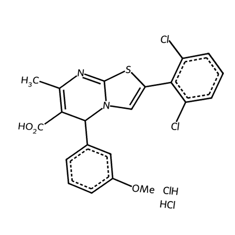 COc1cccc(C2C(C(=O)O)=C(C)N=C3SC(c4c(Cl)cccc4Cl)=CN32)c1.Cl.Cl